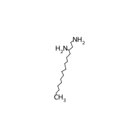 CCCCCCCCCCCCCC(N)CCN